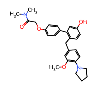 COc1cc(Cc2ccc(O)cc2-c2ccc(OCC(=O)N(C)C)cc2)ccc1N1CCCC1